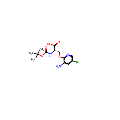 CC(C)(C)OC(=O)N[C@@H](COc1ncc(Br)cc1N)C(=O)O